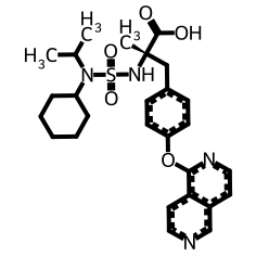 CC(C)N(C1CCCCC1)S(=O)(=O)N[C@@](C)(Cc1ccc(Oc2nccc3cnccc23)cc1)C(=O)O